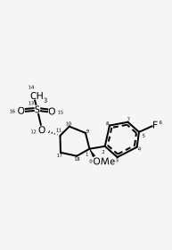 CO[C@]1(c2ccc(F)cc2)CC[C@@H](OS(C)(=O)=O)CC1